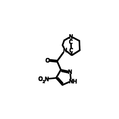 O=C(c1n[nH]cc1[N+](=O)[O-])N1CCN2CCC1CC2